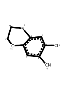 N#Cc1cc2c(cc1Cl)SCCO2